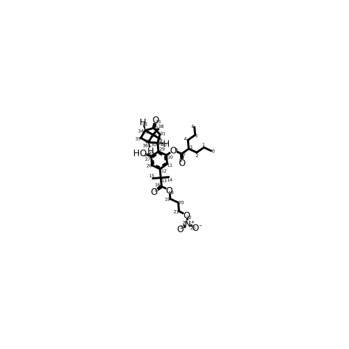 CCCC(CCC)C(=O)Oc1cc(C(C)(C)C(=O)OCCCO[N+](=O)[O-])cc(O)c1[C@H]1CC(=O)[C@H]2C[C@@H]1C2(C)C